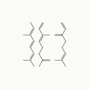 C/C=C(C)/C=C/C=C(C)C.C=C/C(C)=C/CCC(=C)C.C=CC(=C)CCC=C(C)C